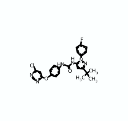 CC(C)(C)c1cc(NC(=O)Nc2ccc(Oc3cc(Cl)ncn3)cc2)n(-c2ccc(F)cc2)n1